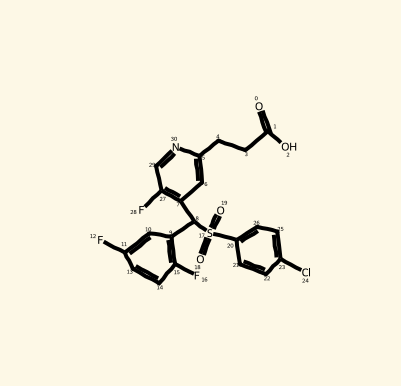 O=C(O)CCc1cc(C(c2cc(F)ccc2F)S(=O)(=O)c2ccc(Cl)cc2)c(F)cn1